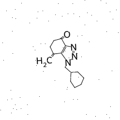 C=C1CCC(=O)c2nnn(CC3CCCCC3)c21